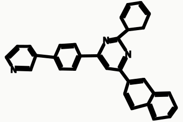 C1=CCC(c2nc(-c3ccc(-c4cccnc4)cc3)cc(-c3ccc4ccccc4c3)n2)C=C1